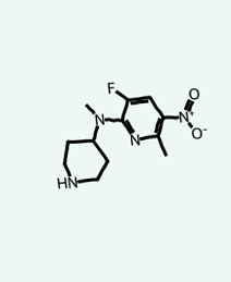 Cc1nc(N(C)C2CCNCC2)c(F)cc1[N+](=O)[O-]